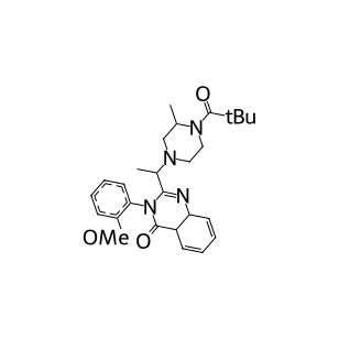 COc1ccccc1N1C(=O)C2C=CC=CC2N=C1C(C)N1CCN(C(=O)C(C)(C)C)C(C)C1